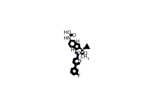 CS(=O)(=O)N(C1CC1)[C@@H]1C[C@@H]2CC(NC(=O)O)CC[C@H]2[C@@H]1/C=C/c1ccc(-c2cccc(F)c2)cn1